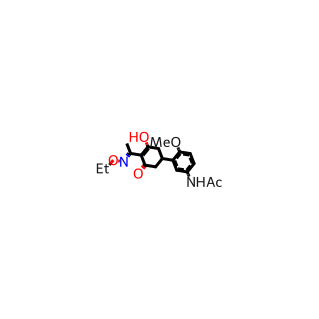 CCON=C(C)C1=C(O)CC(c2cc(NC(C)=O)ccc2OC)CC1=O